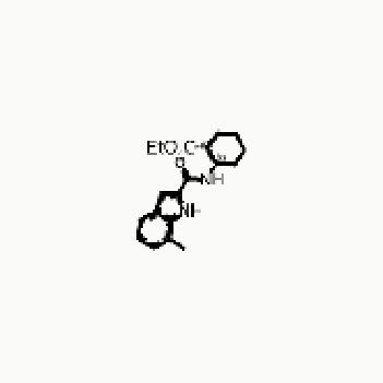 CCOC(=O)[C@@H]1CCCC[C@H]1NC(=O)c1cc2cccc(C)c2[nH]1